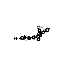 CC1CCN(c2ccc(C3(c4ccc(O)cc4)C=Cc4c(cc(-c5ccc(-c6ccc(OC(=O)c7ccc(O)cc7)cc6)cc5)c5ccccc45)O3)cc2)CC1